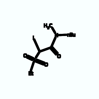 CCCCN(C)C(=O)C(I)S(=O)(=O)CC